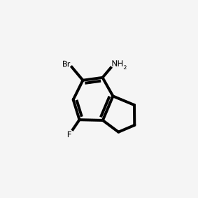 Nc1c(Br)cc(F)c2c1CCC2